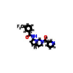 O=C(N[C@@H]1CC[C@H]2CCN(C(=O)c3cccnc3)CN21)c1cccc(C(F)(F)F)c1